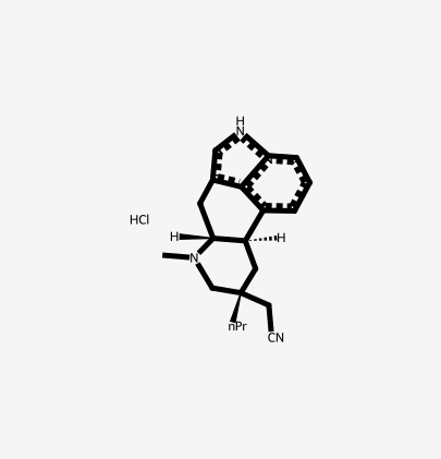 CCC[C@]1(CC#N)C[C@@H]2c3cccc4[nH]cc(c34)C[C@H]2N(C)C1.Cl